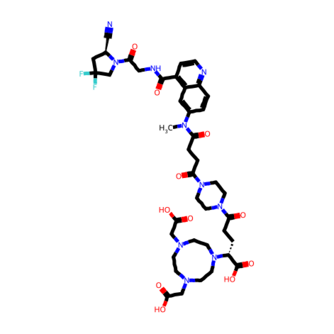 CN(C(=O)CCC(=O)N1CCN(C(=O)CC[C@H](C(=O)O)N2CCN(CC(=O)O)CCN(CC(=O)O)CC2)CC1)c1ccc2nccc(C(=O)NCC(=O)N3CC(F)(F)C[C@H]3C#N)c2c1